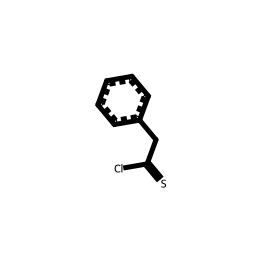 S=C(Cl)Cc1ccccc1